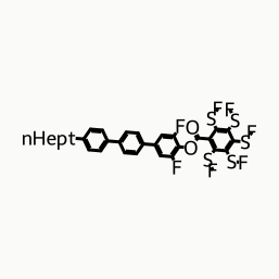 CCCCCCCc1ccc(-c2ccc(-c3cc(F)c(OC(=O)c4c(SF)c(SF)c(SF)c(SF)c4SF)c(F)c3)cc2)cc1